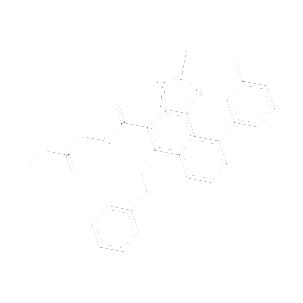 COC(=O)CNC(=O)c1c(OCc2ccccc2)c2cccc(-c3cccc(Cl)c3)c2c2nc(C)nn12